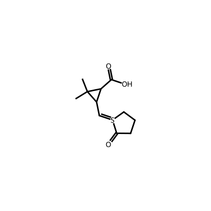 CC1(C)C(C=S2CCCC2=O)C1C(=O)O